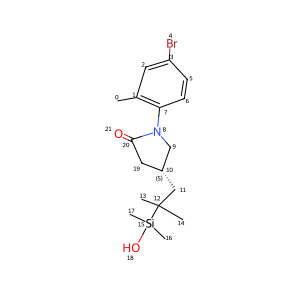 Cc1cc(Br)ccc1N1C[C@H](CC(C)(C)[Si](C)(C)O)CC1=O